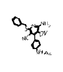 CC(=O)Nc1ccc(-c2c(C#N)c(N)nc(SCc3ccccc3)c2C#N)cc1